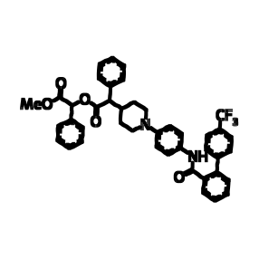 COC(=O)C(OC(=O)C(c1ccccc1)C1CCN(c2ccc(NC(=O)c3ccccc3-c3ccc(C(F)(F)F)cc3)cc2)CC1)c1ccccc1